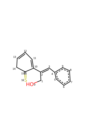 OC/C(=C\c1ccccc1)C1=CC=CCC1=S